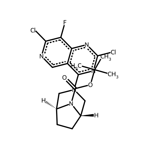 CC(C)(C)OC(=O)N1[C@H]2CC[C@H]1CN(c1nc(Cl)nc3c(F)c(Cl)ncc13)C2